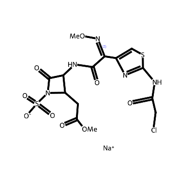 CO/N=C(\C(=O)NC1C(=O)N(S(=O)(=O)[O-])C1CC(=O)OC)c1csc(NC(=O)CCl)n1.[Na+]